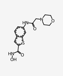 O=C(CN1CCOCC1)Nc1ccc2cc(C(=O)NO)sc2c1